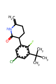 C=C1CCC(c2cc(Cl)cc(C(C)(C)C)c2F)C(=O)N1